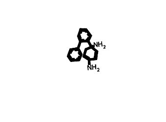 NC1=CCC(N)(c2ccccc2-c2ccccc2)C=C1